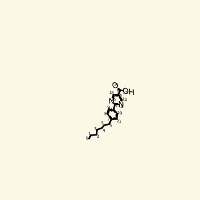 CCCCCCCc1ccc(-c2ncc(C(=O)O)cn2)cc1